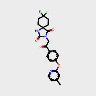 Cc1ccnc(Oc2ccc(C(=O)CN3C(=O)NC4(CCC(F)(F)CC4)C3=O)cc2)c1